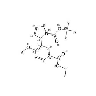 CCOC(=O)c1ccc(OC)c(C2C=CCN2C(=O)OC(C)(C)C)c1